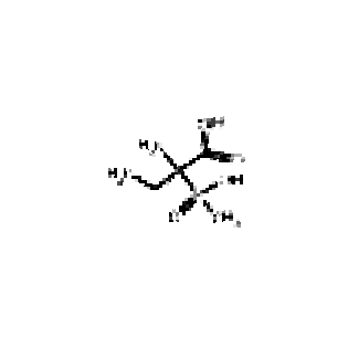 CCC(N)(C(=O)O)P(C)(=O)O